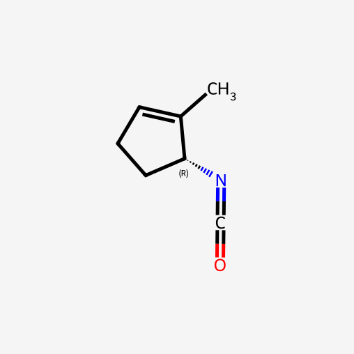 CC1=CCC[C@H]1N=C=O